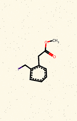 COC(=O)Cc1ccccc1CI